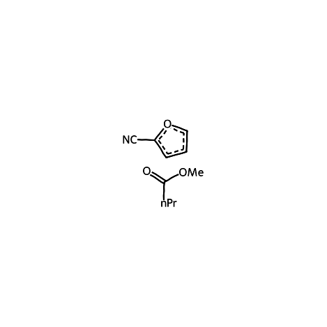 CCCC(=O)OC.N#Cc1ccco1